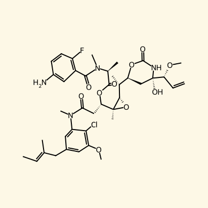 C=C[C@@H](OC)[C@@]1(O)C[C@@H]([C@@H](C)[C@@H]2O[C@@]2(C)[C@H](CC(=O)N(C)c2cc(C/C(C)=C/C)cc(OC)c2Cl)OC(=O)[C@H](C)N(C)C(=O)c2cc(N)ccc2F)OC(=O)N1